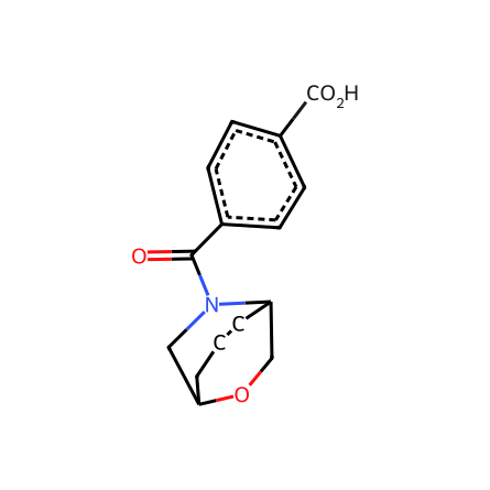 O=C(O)c1ccc(C(=O)N2CC3CCCC2CO3)cc1